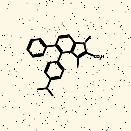 Cc1c(C(=O)O)n(C)c2ccc(-c3ccccc3)c(-c3ccc(N(C)C)cc3)c12